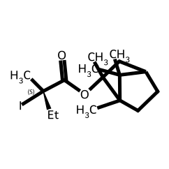 CC[C@](C)(I)C(=O)OC1(C)CC2CCC1(C)C2(C)C